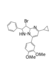 COc1ccc(C2=CC(C3CC3)=NC3C(Br)C(c4ccccc4)NN23)cc1OC